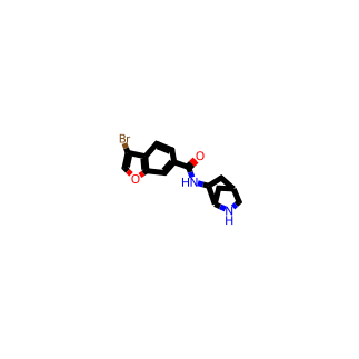 O=C(NC1CC2CNC1C2)c1ccc2c(Br)coc2c1